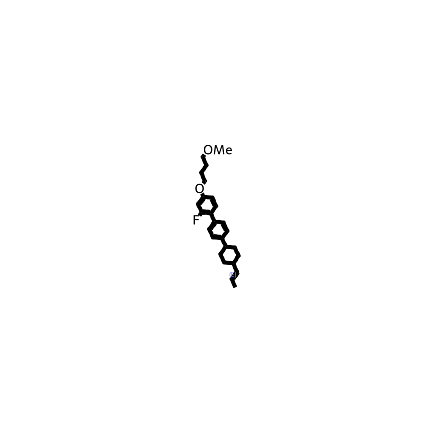 C/C=C/C1CCC(c2ccc(-c3ccc(OCCCCOC)cc3F)cc2)CC1